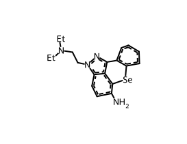 CCN(CC)CCn1nc2c3c(c(N)ccc31)[Se]c1ccccc1-2